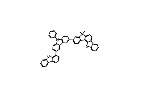 CC1(C)c2cc(-c3ccc4c(c3)c3cc(-c5cccc6c5oc5ccccc56)ccc3n4-c3ccccc3)ccc2-c2c1ccc1c2sc2ccccc21